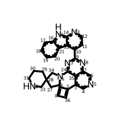 C1=CC(c2cncc3nc(-c4ccnc5[nH]c6ccccc6c45)nc(N4CCC5(CCCNC5)C4)c23)=C1